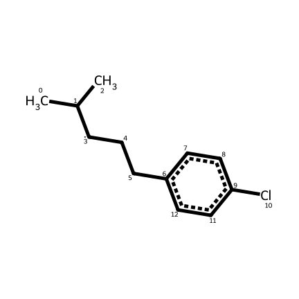 CC(C)[CH]CCc1ccc(Cl)cc1